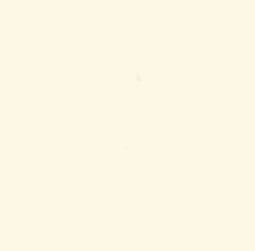 CC/C=C/C1=C(O)C(=O)c2ccccc2C1=O